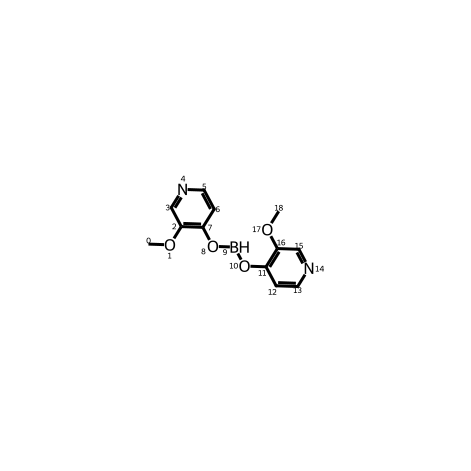 COc1cnccc1OBOc1ccncc1OC